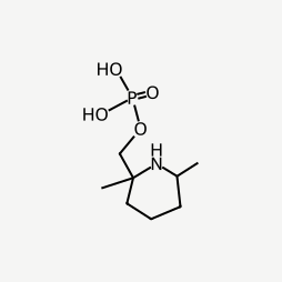 CC1CCCC(C)(COP(=O)(O)O)N1